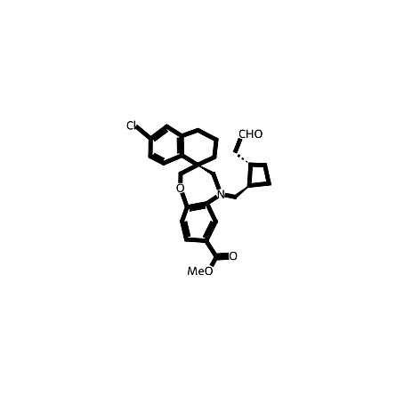 COC(=O)c1ccc2c(c1)N(C[C@@H]1CC[C@H]1CC=O)C[C@@]1(CCCc3cc(Cl)ccc31)CO2